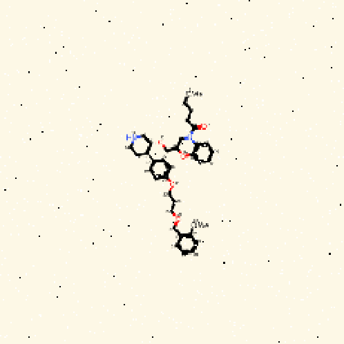 COCCCC(=O)N1CC(CO[C@H]2CNCC[C@@H]2c2ccc(OCCCOCc3ccccc3OC)cc2)Oc2ccccc21